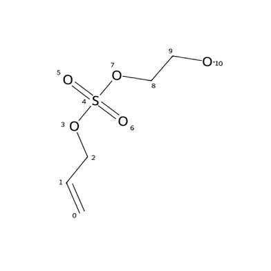 C=CCOS(=O)(=O)OCC[O]